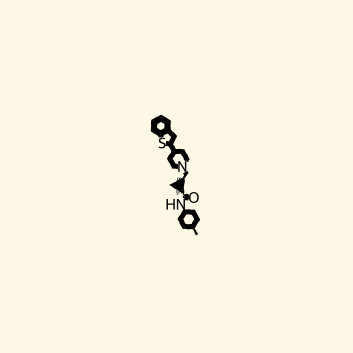 C[C@H]1CC[C@H](NC(=O)[C@@H]2C[C@H]2CN2CCC(C3Cc4ccccc4S3)CC2)CC1